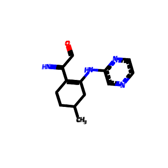 CC1CCC(C(=N)C=O)=C(Nc2cnccn2)C1